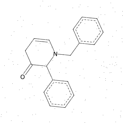 O=C1CC=CN(Cc2ccccc2)C1c1ccccc1